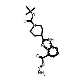 CC(C)(C)OC(=O)N1CCC(c2nc3c(C(=O)N=NN)cccc3[nH]2)CC1